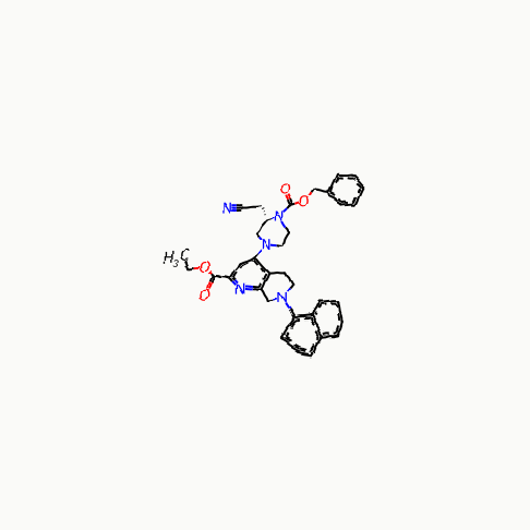 CCOC(=O)c1cc(N2CCN(C(=O)OCc3ccccc3)[C@@H](CC#N)C2)c2c(n1)CN(c1cccc3ccccc13)CC2